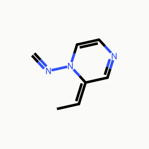 C=NN1C=CN=C/C1=C/C